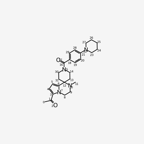 CC(=O)c1ccc2n1CCN(C)C21CCN(C(=O)c2ccc(N3CCCCC3)cc2)CC1